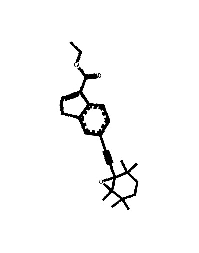 CCOC(=O)C1=CCc2cc(C#CC34OC3(C)C(C)(C)CCC4(C)C)ccc21